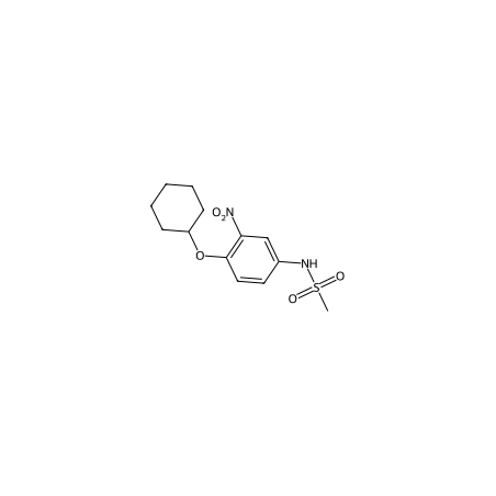 CS(=O)(=O)Nc1ccc(OC2CCCCC2)c([N+](=O)[O-])c1